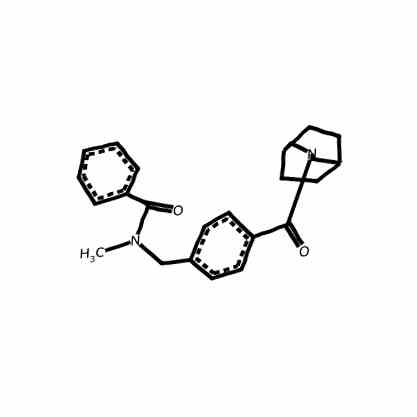 CN(Cc1ccc(C(=O)N2CC3CCC(CC3)C2)cc1)C(=O)c1ccccc1